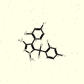 Cc1nn(C)c(C(Cl)(Cl)c2ccc(F)cc2F)c1-c1ccc(F)cc1Cl